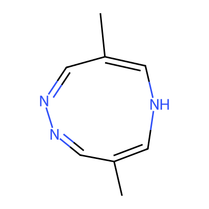 Cc1cnncc(C)c[nH]c1